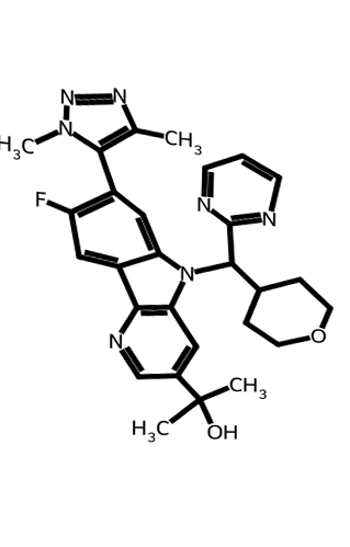 Cc1nnn(C)c1-c1cc2c(cc1F)c1ncc(C(C)(C)O)cc1n2C(c1ncccn1)C1CCOCC1